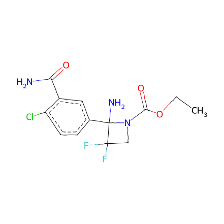 CCOC(=O)N1CC(F)(F)C1(N)c1ccc(Cl)c(C(N)=O)c1